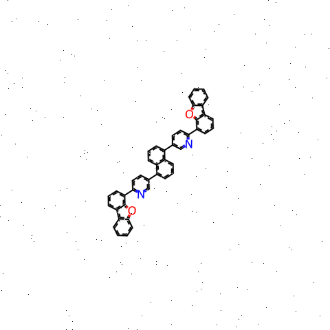 c1ccc2c(c1)oc1c(-c3ccc(-c4cccc5c(-c6ccc(-c7cccc8c7oc7ccccc78)nc6)cccc45)cn3)cccc12